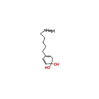 CCCCCCCCCCCCC1=CCC(O)(O)C=C1